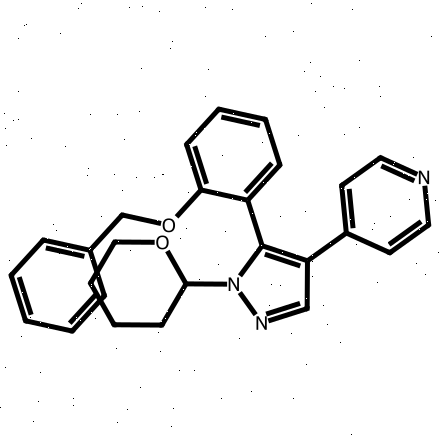 c1ccc(COc2ccccc2-c2c(-c3ccncc3)cnn2C2CCCCO2)cc1